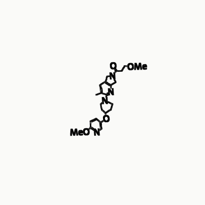 COCCC(=O)N1Cc2cc(C)c(N3CCC(Oc4ccc(OC)nc4)CC3)nc2C1